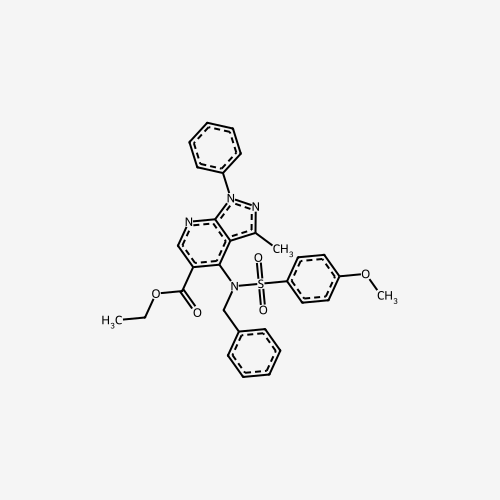 CCOC(=O)c1cnc2c(c(C)nn2-c2ccccc2)c1N(Cc1ccccc1)S(=O)(=O)c1ccc(OC)cc1